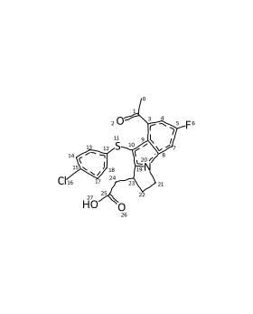 CC(=O)c1cc(F)cc2c1c(Sc1ccc(Cl)cc1)c1n2CCC1CC(=O)O